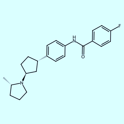 C[C@H]1CCCN1[C@H]1CC[C@H](c2ccc(NC(=O)c3ccc(F)cc3)cc2)C1